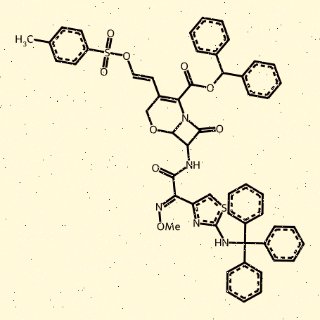 CO/N=C(/C(=O)NC1C(=O)N2C(C(=O)OC(c3ccccc3)c3ccccc3)=C(/C=C/OS(=O)(=O)c3ccc(C)cc3)COC12)c1csc(NC(c2ccccc2)(c2ccccc2)c2ccccc2)n1